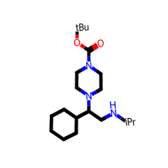 CC(C)NCC(C1CCCCC1)N1CCN(C(=O)OC(C)(C)C)CC1